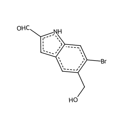 O=Cc1cc2cc(CO)c(Br)cc2[nH]1